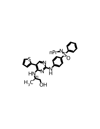 CCCN=S(=O)(c1ccccc1)c1ccc(Nc2ncc(-c3cccs3)c(N[C@H](C)CO)n2)cc1